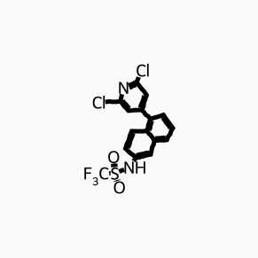 O=S(=O)(Nc1ccc2c(-c3cc(Cl)nc(Cl)c3)cccc2c1)C(F)(F)F